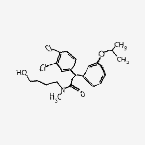 CC(C)Oc1cccc(C(C(=O)N(C)CCCCO)c2ccc(Cl)c(Cl)c2)c1